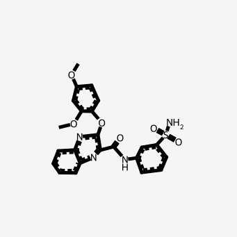 COc1ccc(Oc2nc3ccccc3nc2C(=O)Nc2cccc(S(N)(=O)=O)c2)c(OC)c1